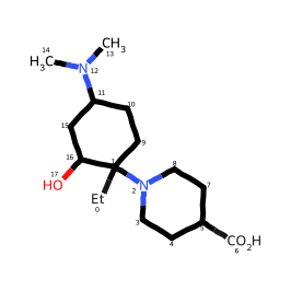 CCC1(N2CCC(C(=O)O)CC2)CCC(N(C)C)CC1O